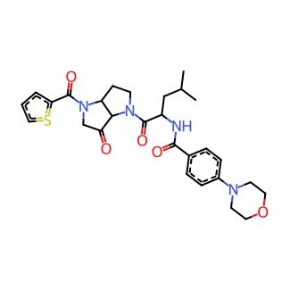 CC(C)CC(NC(=O)c1ccc(N2CCOCC2)cc1)C(=O)N1CCC2C1C(=O)CN2C(=O)c1cccs1